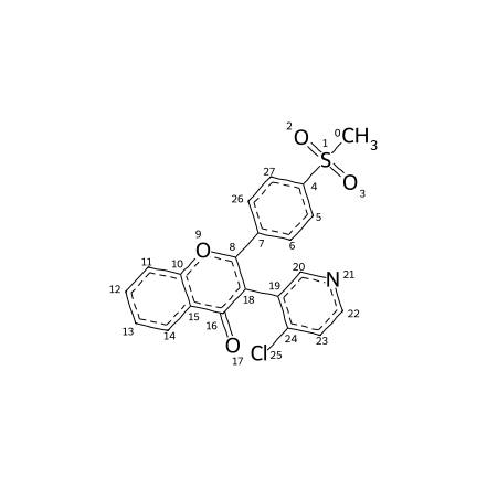 CS(=O)(=O)c1ccc(-c2oc3ccccc3c(=O)c2-c2cnccc2Cl)cc1